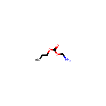 CCCCCCOC(=O)OCN